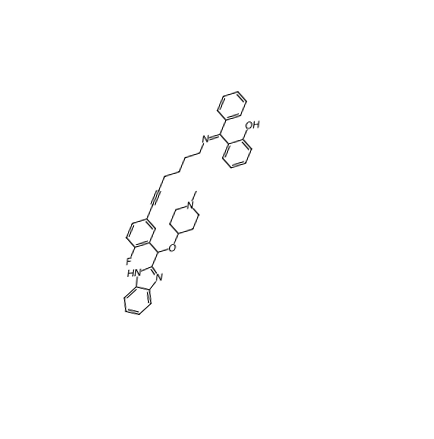 CN1CCC(OC(c2nc3ccccc3[nH]2)c2cc(C#CCCCCN=C(c3ccccc3)c3ccccc3O)ccc2F)CC1